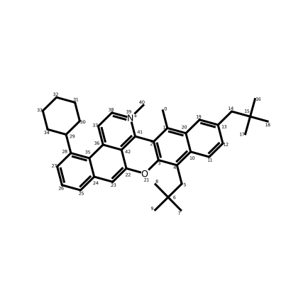 Cc1c2c(c(CC(C)(C)C)c3ccc(CC(C)(C)C)cc13)Oc1cc3cccc(C4CCCCC4)c3c3cc[n+](C)c-2c13